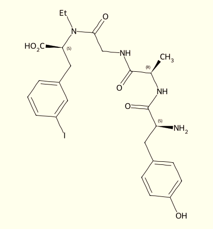 CCN(C(=O)CNC(=O)[C@@H](C)NC(=O)[C@@H](N)Cc1ccc(O)cc1)[C@@H](Cc1cccc(I)c1)C(=O)O